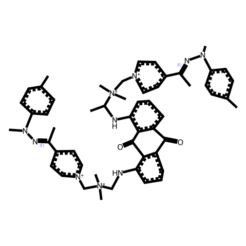 C/C(=N\N(C)c1ccc(C)cc1)c1cc[n+](C[N+](C)(C)CNc2cccc3c2C(=O)c2c(NC(C)[N+](C)(C)C[n+]4ccc(/C(C)=N/N(C)c5ccc(C)cc5)cc4)cccc2C3=O)cc1